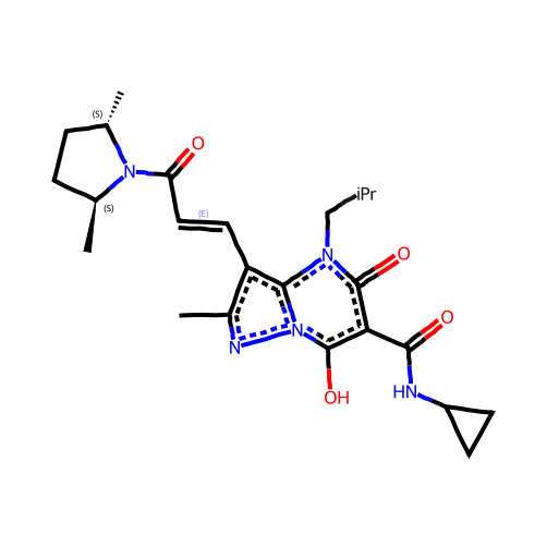 Cc1nn2c(O)c(C(=O)NC3CC3)c(=O)n(CC(C)C)c2c1/C=C/C(=O)N1[C@@H](C)CC[C@@H]1C